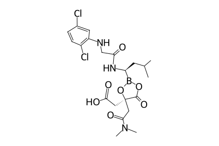 CC(C)C[C@H](NC(=O)CNc1cc(Cl)ccc1Cl)B1OC(=O)[C@@](CC(=O)O)(CC(=O)N(C)C)O1